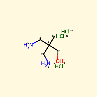 CC(CN)(CN)CO.Cl.Cl.Cl